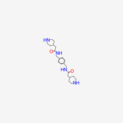 O=C(CC1CCNCC1)NCc1ccc(CNC(=O)CC2CCNCC2)cc1